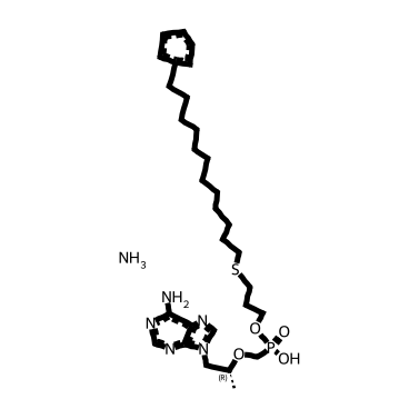 C[C@H](Cn1cnc2c(N)ncnc21)OCP(=O)(O)OCCCSCCCCCCCCCCCCc1ccccc1.N